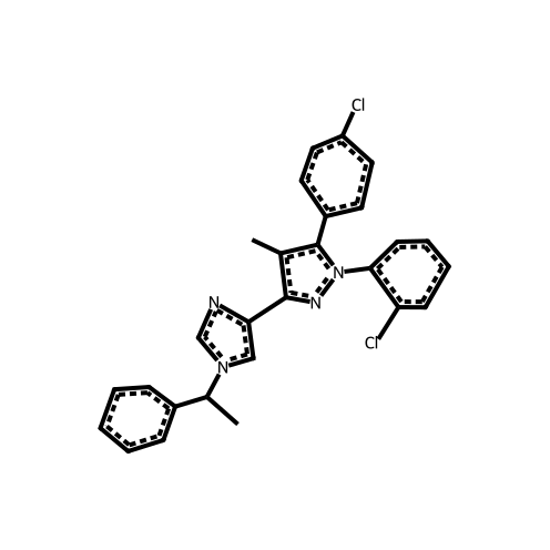 Cc1c(-c2cn(C(C)c3ccccc3)cn2)nn(-c2ccccc2Cl)c1-c1ccc(Cl)cc1